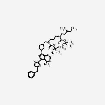 C/C=C(\C)CCN(CCCN(C[C@@H]1CC[C@H](n2cc(-c3nc(Cc4ccccc4)cs3)c3c(N)ncnc32)C1)C(=O)OC(C)(C)C)C(=O)OC(C)(C)C